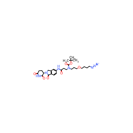 CC(C)(C)OC(=O)N(CCCOCCCCN=[N+]=[N-])CCC(=O)Nc1ccc2c(c1)CN(C1CCC(=O)NC1=O)C2=O